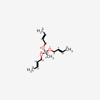 CC=CCO[Si](C)(OCC=CC)OCC=CC